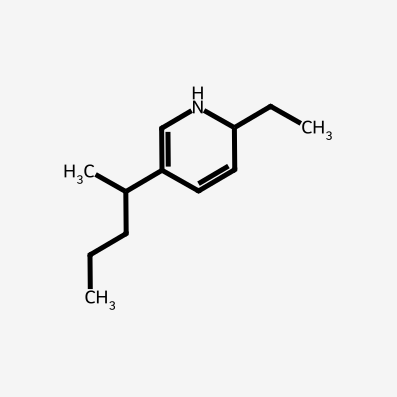 CCCC(C)C1=CNC(CC)C=C1